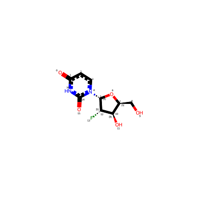 O=c1ccn([C@@H]2O[C@@H](CO)[C@@H](O)[C@@H]2F)c(=O)[nH]1